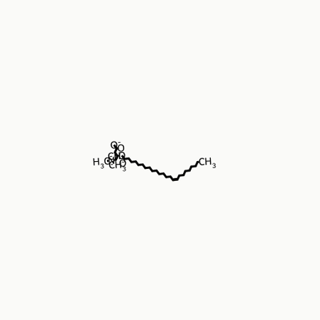 CCCCCCCC/C=C\CCCCCCCCCCCCCC(=O)OC(CC(=O)[O-])C[N+](C)(C)C